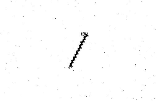 CC(F)CCCCCCCCCCCCCCCCCCCCC(C)(C)C